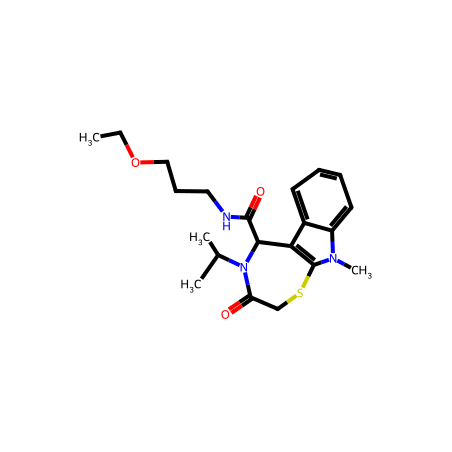 CCOCCCNC(=O)C1c2c(n(C)c3ccccc23)SCC(=O)N1C(C)C